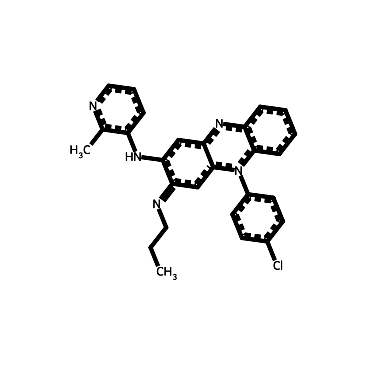 CCCN=c1cc2n(-c3ccc(Cl)cc3)c3ccccc3nc-2cc1Nc1cccnc1C